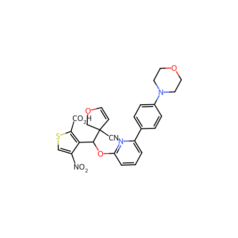 N#CC1(C(Oc2cccc(-c3ccc(N4CCOCC4)cc3)n2)c2c([N+](=O)[O-])csc2C(=O)O)C=COC1